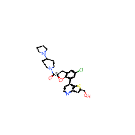 O=C([C@H]1Cc2cc(Cl)cc(-c3ccnc4cc(CO)sc34)c2O1)N1CCC(N2CCCC2)CC1